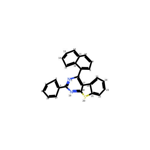 c1ccc(-c2nc(-c3cccc4ccccc34)c3c(n2)sc2ccccc23)cc1